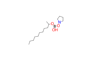 CCCCCCCCCC(C)OB(O)ON1CCCC1